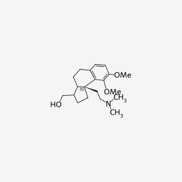 COc1ccc2c(c1OC)[C@]1(CCN(C)C)CCC(CO)C1CC2